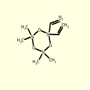 C=C[Si]1(C=C)O[Si](C)(C)O[Si](C)(C)O1